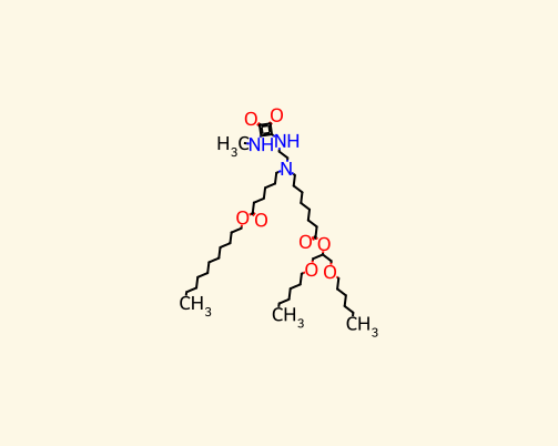 CCCCCCCCCCCOC(=O)CCCCCN(CCCCCCCC(=O)OC(COCCCCCC)COCCCCCC)CCNc1c(NC)c(=O)c1=O